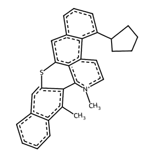 Cc1c2c(cc3ccccc13)Sc1cc3cccc(C4CCCC4)c3c3cc[n+](C)c-2c13